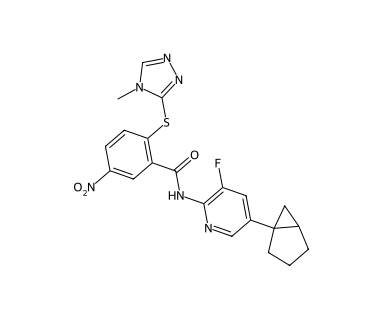 Cn1cnnc1Sc1ccc([N+](=O)[O-])cc1C(=O)Nc1ncc(C23CCCC2C3)cc1F